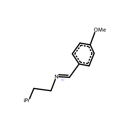 COc1ccc(/C=N/CCC(C)C)cc1